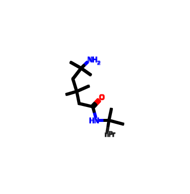 CCCC(C)(C)NC(=O)CC(C)(C)CC(C)(C)N